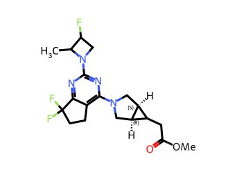 COC(=O)CC1[C@H]2CN(c3nc(N4CC(F)C4C)nc4c3CCC4(F)F)C[C@@H]12